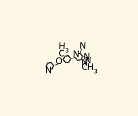 Cc1cc(-c2cc3c(nnn3C)c(C#N)n2)ccc1OCc1cccnc1